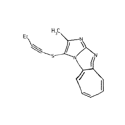 CCC#CSc1c(C)nc2nc3cccccc3n12